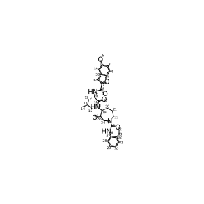 COc1ccc2oc(C(=O)N[C@@H](CC(C)C)C(=O)NC3CCCN(C(=O)Nc4ccccc4F)CC3=O)cc2c1